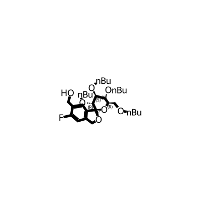 CCCCOC[C@H]1O[C@]2(OCc3cc(F)c(CO)cc32)[C@H](OCCCC)[C@@H](OCCCC)[C@@H]1OCCCC